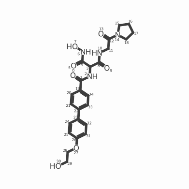 O=C(NC(C(=O)NO)C(=O)NCC(=O)N1CCCC1)c1ccc(-c2ccc(OCCO)cc2)cc1